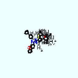 Bc1c(B)c(B)c(-c2c(B)c(B)c(-c3nc(-c4ccc(-c5ccccc5)cc4)nc(-c4ccc5c(c4)oc4ccccc45)n3)c3sc4c(B)c(B)c(B)c(B)c4c23)c(B)c1B